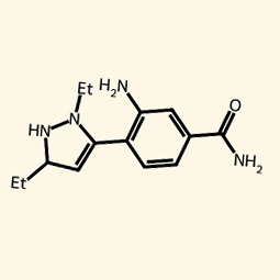 CCC1C=C(c2ccc(C(N)=O)cc2N)N(CC)N1